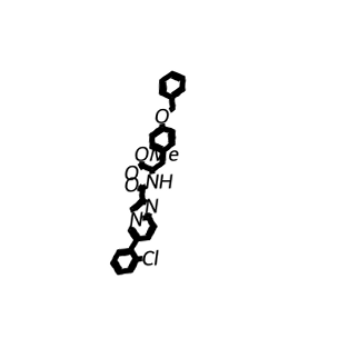 COC(=O)C(Cc1ccc(OCc2ccccc2)cc1)NC(=O)c1cn2cc(-c3ccccc3Cl)ccc2n1